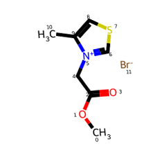 COC(=O)C[n+]1cscc1C.[Br-]